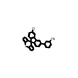 N#Cc1cccc(-c2ccc3c(c2)-c2cc(Cl)ccc2C32c3ccccc3Sc3ccccc32)c1